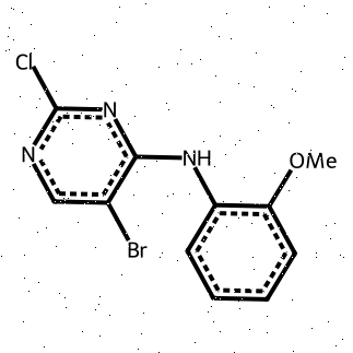 COc1ccccc1Nc1nc(Cl)ncc1Br